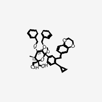 COC1(c2ccc(C3CC3)c(Cc3ccc4c(c3)OCCO4)c2)OC(CO)(CO)[C@@H](C)[C@H](OCc2ccccc2)[C@H]1OCc1ccccc1